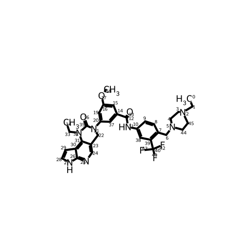 CCN1CCN(Cc2ccc(NC(=O)c3cc(OC)cc(N4Cc5cnc6[nH]ccc6c5N(CC)C4=O)c3)cc2C(F)(F)F)CC1